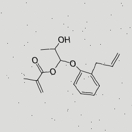 C=CCc1ccccc1OC(OC(=O)C(=C)C)C(C)O